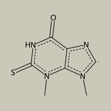 Cn1[c]nc2c(=O)[nH]c(=S)n(C)c21